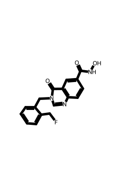 O=C(NO)c1ccc2ncn(Cc3ccccc3CF)c(=O)c2c1